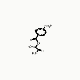 NC(=O)C(O)OC(=O)c1ccc(C(=O)O)cc1